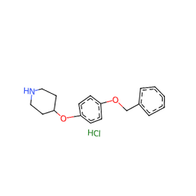 Cl.c1ccc(COc2ccc(OC3CCNCC3)cc2)cc1